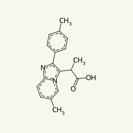 Cc1ccc(-c2nc3ccc(C)cn3c2C(C)C(=O)O)cc1